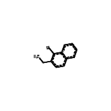 C[CH]c1ccc2ccccc2c1Cl